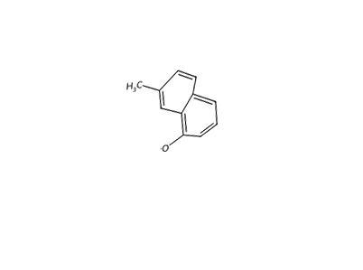 Cc1ccc2cccc([O])c2c1